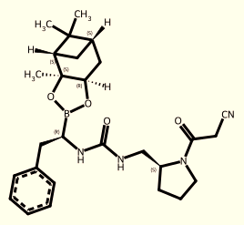 CC1(C)[C@@H]2C[C@H]3OB([C@H](Cc4ccccc4)NC(=O)NC[C@@H]4CCCN4C(=O)CC#N)O[C@@]3(C)[C@H]1C2